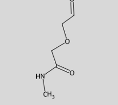 CNC(=O)COCC=O